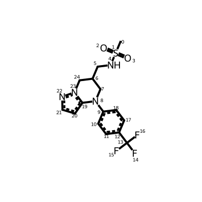 CS(=O)(=O)NCC1CN(c2ccc(C(F)(F)F)cc2)c2ccnn2C1